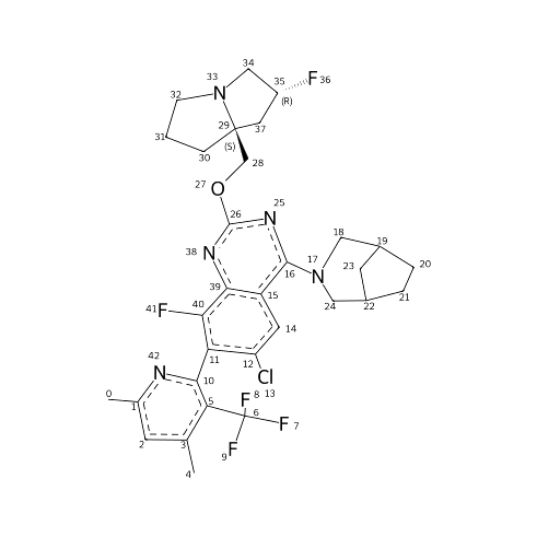 Cc1cc(C)c(C(F)(F)F)c(-c2c(Cl)cc3c(N4CC5CCC(C5)C4)nc(OC[C@@]45CCCN4C[C@H](F)C5)nc3c2F)n1